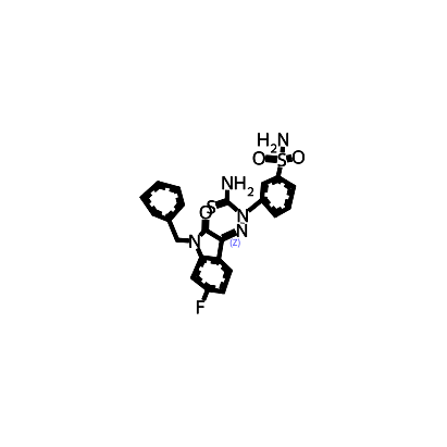 NC(=S)N(/N=C1\C(=O)N(Cc2ccccc2)c2cc(F)ccc21)c1cccc(S(N)(=O)=O)c1